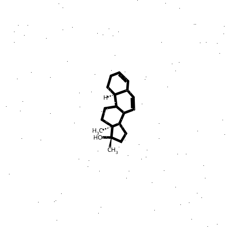 C[C@]1(O)CCC2C3C=CC4C=CCC[C@@H]4C3CC[C@@]21C